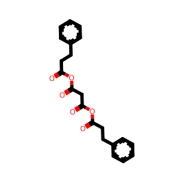 O=C(CCc1ccccc1)OC(=O)CC(=O)OC(=O)CCc1ccccc1